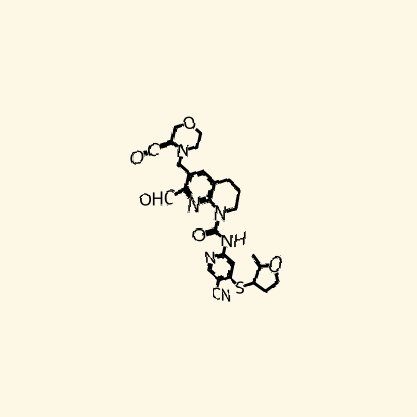 CC1OCCC1Sc1cc(NC(=O)N2CCCc3cc(CN4CCOCC4=C=O)c(C=O)nc32)ncc1C#N